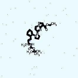 CCOC(=O)c1cnn2ccc(N3CCCN3c3ccccc3/C=C/[C@@H](C)NC(=O)OC(C)(C)C)nc12